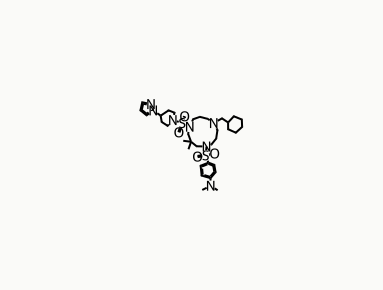 CN(C)c1ccc(S(=O)(=O)N2CCCN(CC3CCCCC3)CCCN(S(=O)(=O)N3CCC(n4cccn4)CC3)CC(C)(C)C2)cc1